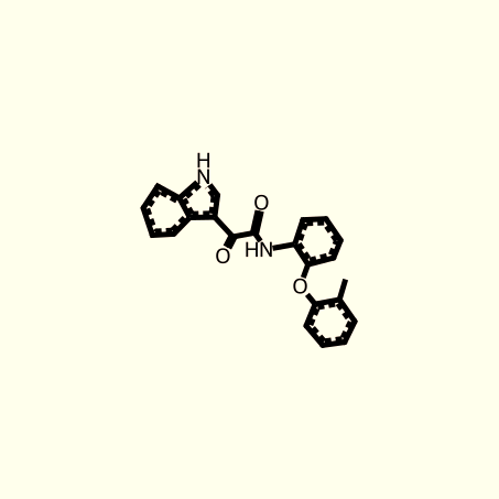 Cc1ccccc1Oc1ccccc1NC(=O)C(=O)c1c[nH]c2ccccc12